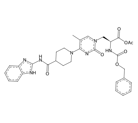 CC(=O)OC(=O)[C@H](Cn1cc(C)c(N2CCC(C(=O)Nc3nc4ccccc4[nH]3)CC2)nc1=O)NC(=O)OCc1ccccc1